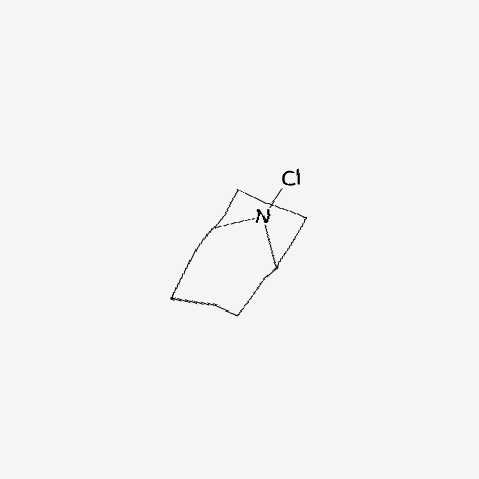 ClN1C2CCC1CC2